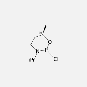 CC(C)N1CC[C@@H](C)OP1Cl